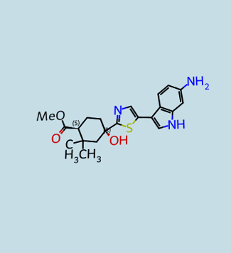 COC(=O)[C@H]1CC[C@](O)(c2ncc(-c3c[nH]c4cc(N)ccc34)s2)CC1(C)C